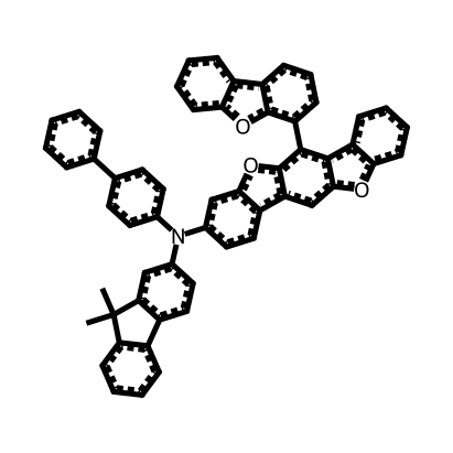 CC1(C)c2ccccc2-c2ccc(N(c3ccc(-c4ccccc4)cc3)c3ccc4c(c3)oc3c(-c5cccc6c5oc5ccccc56)c5c(cc34)oc3ccccc35)cc21